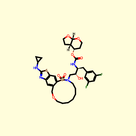 O=C(N[C@@H](Cc1cc(F)cc(F)c1)[C@H](O)CN1CCCCCCCOCc2cc3nc(NC4CC4)sc3cc2S1(=O)=O)O[C@H]1CCO[C@H]2OCC[C@H]21